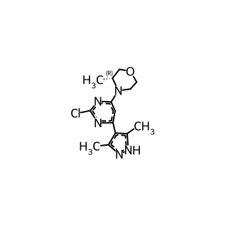 Cc1n[nH]c(C)c1-c1cc(N2CCOC[C@H]2C)nc(Cl)n1